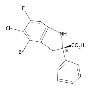 O=C(O)[C@@]1(c2ccccc2)Cc2c(cc(F)c(Cl)c2Br)N1